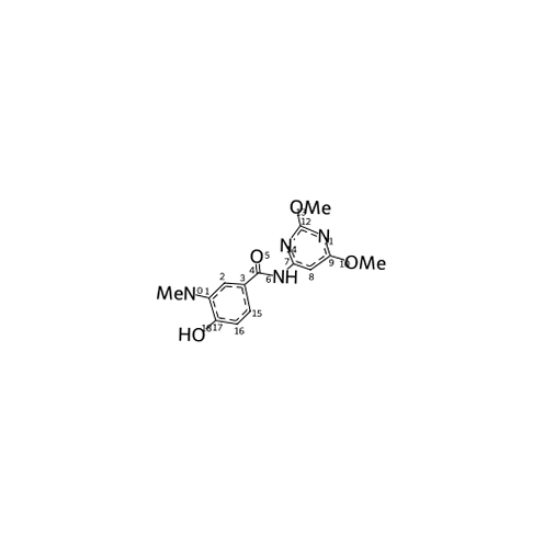 CNc1cc(C(=O)Nc2cc(OC)nc(OC)n2)ccc1O